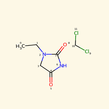 CCN1CC(=O)NC1=O.ClCCl